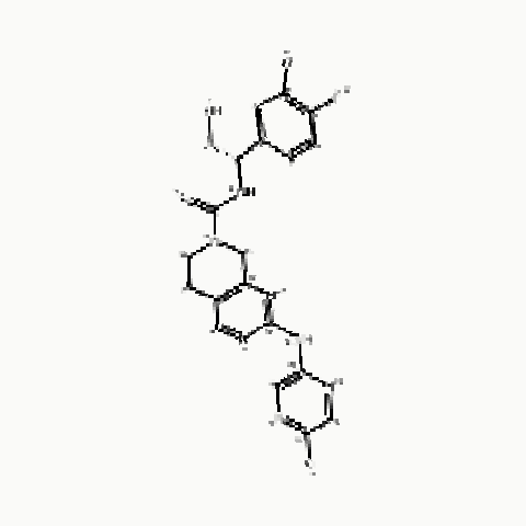 O=C(N[C@H](CO)c1ccc(F)c(Cl)c1)N1CCc2cnc(Nc3cnc(Cl)cn3)nc2C1